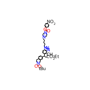 CCOC(=O)CC(c1ccc2c(c1)CN(C(=O)OC(C)(C)C)CC2)c1ccc2c(nnn2CCCCCN2CCN(C(=O)Oc3ccc([N+](=O)[O-])cc3)CC2)c1C